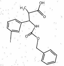 CC(C(=O)O)C(NC(=O)OCc1ccccc1)c1cccc(I)c1